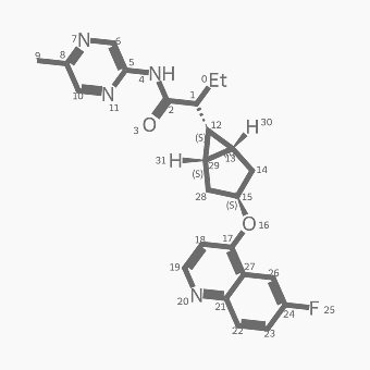 CCC(C(=O)Nc1cnc(C)cn1)[C@@H]1[C@@H]2C[C@@H](Oc3ccnc4ccc(F)cc34)C[C@@H]21